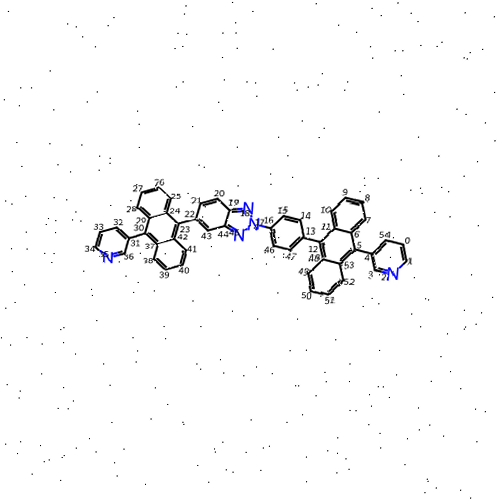 c1cncc(-c2c3ccccc3c(-c3ccc(-n4nc5ccc(-c6c7ccccc7c(-c7cccnc7)c7ccccc67)cc5n4)cc3)c3ccccc23)c1